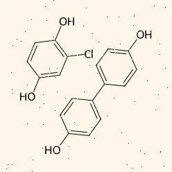 Oc1ccc(-c2ccc(O)cc2)cc1.Oc1ccc(O)c(Cl)c1